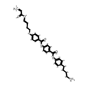 C=CC(=O)OCCCCSc1ccc(C(=O)Oc2ccc(C(=O)Oc3ccc(CCCCC)cc3)cc2)cc1